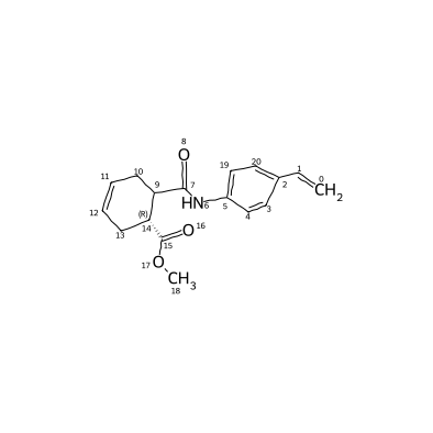 C=Cc1ccc(NC(=O)C2CC=CC[C@H]2C(=O)OC)cc1